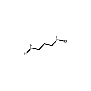 CCN[CH]CCNCC